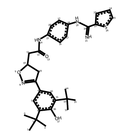 CC(C)(C)c1cc(C2=NOC(CC(=O)Nc3ccc(NC(=N)c4cccs4)cc3)C2)cc(C(C)(C)C)c1O